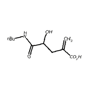 C=C(CC(O)C(=O)NCCCC)C(=O)O